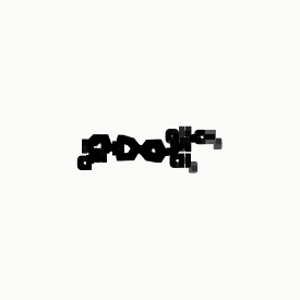 CCNC(=O)C(C)c1ccc(C2CCN(c3ccnc(Cl)n3)CC2)cc1